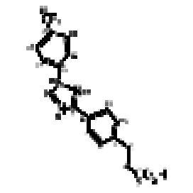 O=C(O)CCc1ccc(-c2ncn(-c3ccc(C(F)(F)F)cc3)n2)cc1